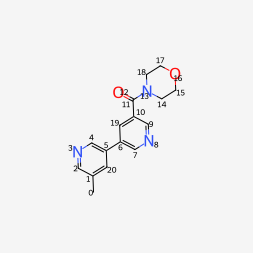 Cc1cncc(-c2cncc(C(=O)N3CCOCC3)c2)c1